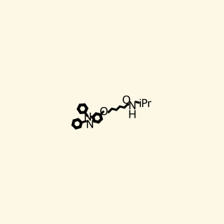 CC(C)CNC(=O)CCCCCOc1ccc2nc(-c3ccccc3)n(-c3ccccc3)c2c1